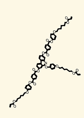 C=CC(=O)OCCCCCCOc1ccc(OC(=O)c2ccc(C(=O)Oc3ccc4c(c3)nc(Oc3ccc(OCCCCCCOC(=O)C=C)cc3)c3cc(OC(=O)c5ccc(C(=O)Oc6ccc(OCCCCCCOC(=O)C=C)cc6)cc5)ccc34)cc2)cc1